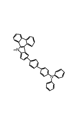 Cn1c2ccc(-c3ccc(-c4ccc(N(c5ccccc5)c5ccccc5)cc4)cc3)cc2c2c3ccccc3c3ccccc3c21